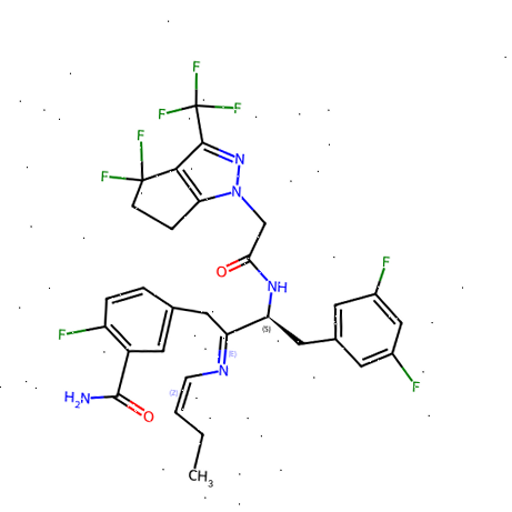 CC/C=C\N=C(/Cc1ccc(F)c(C(N)=O)c1)[C@H](Cc1cc(F)cc(F)c1)NC(=O)Cn1nc(C(F)(F)F)c2c1CCC2(F)F